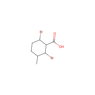 CC1CCC(Br)C(C(=O)O)C1Br